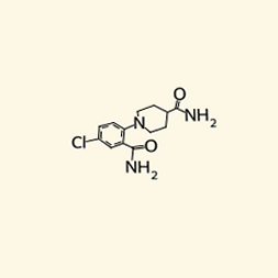 NC(=O)c1cc(Cl)ccc1N1CCC(C(N)=O)CC1